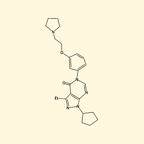 CCc1nn(C2CCCC2)c2ncn(-c3cccc(OCCN4CCCC4)c3)c(=O)c12